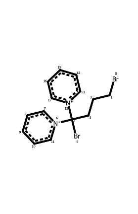 BrCCCC(Br)([n+]1ccccc1)[n+]1ccccc1